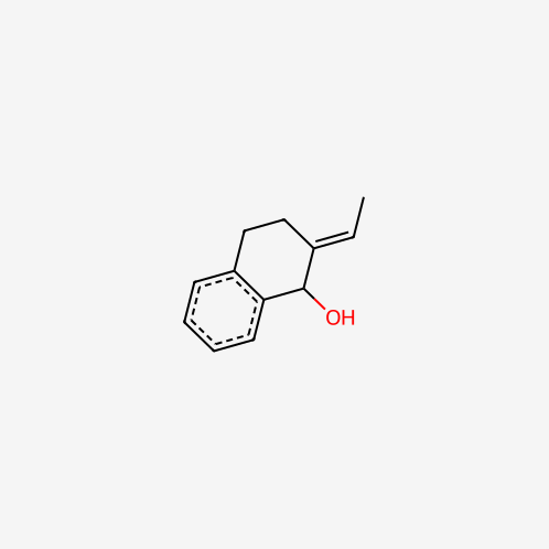 C/C=C1\CCc2ccccc2C1O